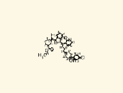 CCOC(=O)C1CCCN(NC(=O)c2cccc3c2C/C(=C/CCN2CCC(O)(c4ccc(Cl)cc4)CC2)c2cccnc2O3)C1